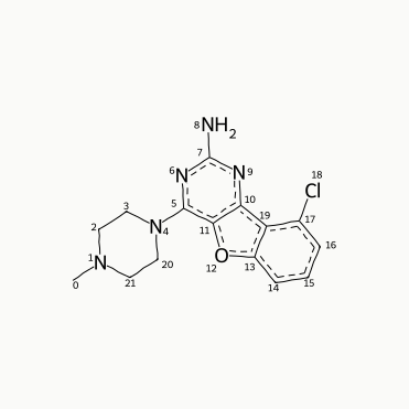 CN1CCN(c2nc(N)nc3c2oc2cccc(Cl)c23)CC1